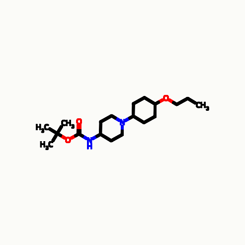 CCCOC1CCC(N2CCC(NC(=O)OC(C)(C)C)CC2)CC1